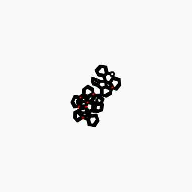 c1ccc2c(c1)Oc1ccccc1C21c2ccccc2-c2c(N(c3cccc4c3-c3ccccc3C43c4ccccc4-c4ccccc43)c3cccc4c3C3(c5ccccc5Oc5ccccc53)c3ccccc3-4)cccc21